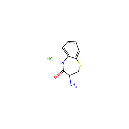 Cl.NC1CSc2ccccc2NC1=O